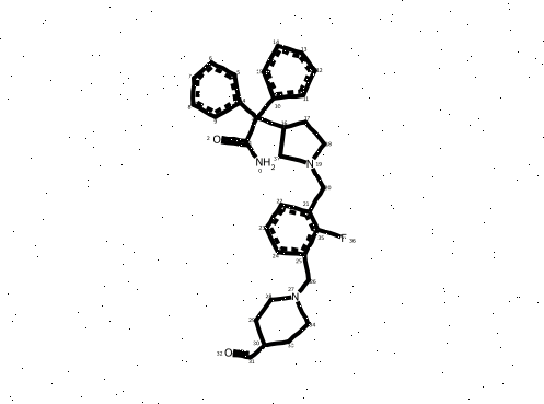 NC(=O)C(c1ccccc1)(c1ccccc1)C1CCN(Cc2cccc(CN3CCC(C=O)CC3)c2F)C1